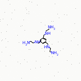 NCCNCc1cc(CNCCN)cc(CNCCN)c1